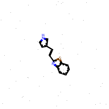 C(=Cc1nc2ccccc2s1)c1cc[nH]c1